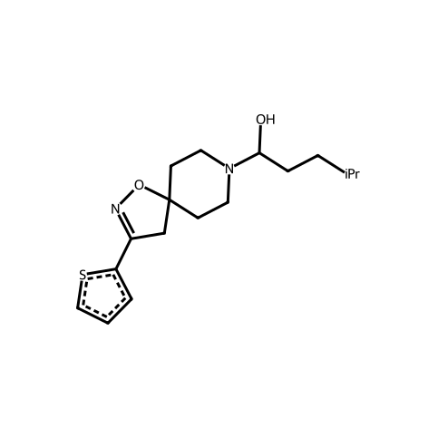 CC(C)CCC(O)N1CCC2(CC1)CC(c1cccs1)=NO2